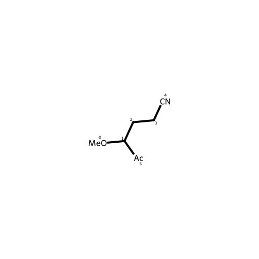 COC(CCC#N)C(C)=O